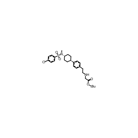 CN([C@H]1CC[C@H](c2ccc(CCNCC(=O)OC(C)(C)C)cc2)CC1)S(=O)(=O)c1ccc(Cl)cc1